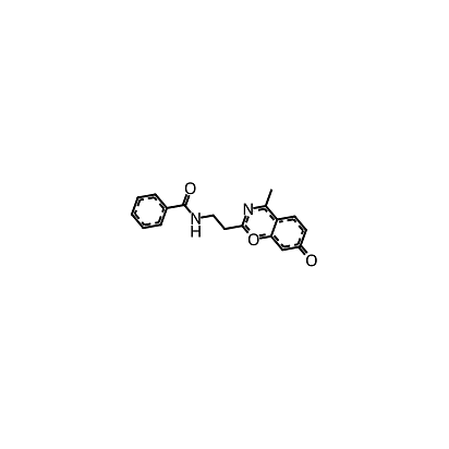 Cc1nc(CCNC(=O)c2ccccc2)oc2cc(=O)ccc1-2